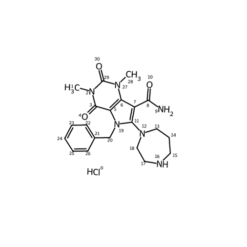 Cl.Cn1c(=O)c2c(c(C(N)=O)c(N3CCCNCC3)n2Cc2ccccc2)n(C)c1=O